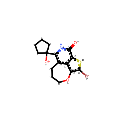 O=c1[nH]c(C2(O)CCCC2)c2c3c(c(Br)sc13)OCCC2